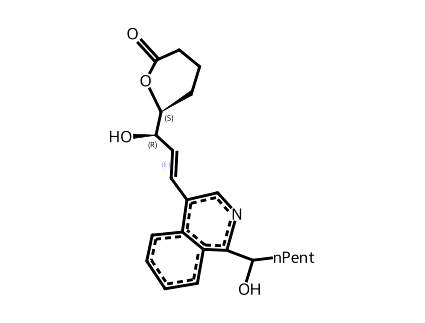 CCCCCC(O)c1ncc(/C=C/[C@@H](O)[C@@H]2CCCC(=O)O2)c2ccccc12